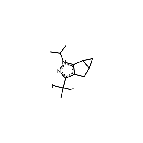 CC(C)n1nc(C(C)(F)F)c2c1C1CC1C2